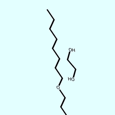 CCCCCCCCOCCO.OCCO